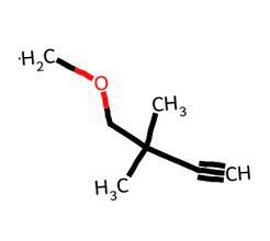 C#CC(C)(C)CO[CH2]